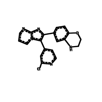 Clc1cc(-c2c(-c3ccc4c(c3)NCCO4)nc3ncccn23)ccn1